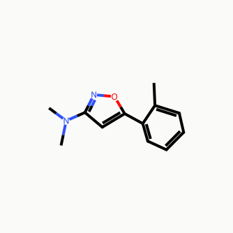 Cc1ccccc1-c1cc(N(C)C)no1